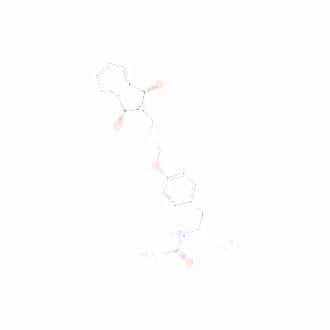 O=C(O)C(=O)N[C@H](Cc1ccc(OCCCN2C(=O)c3ccccc3C2=O)cc1)C(=O)O